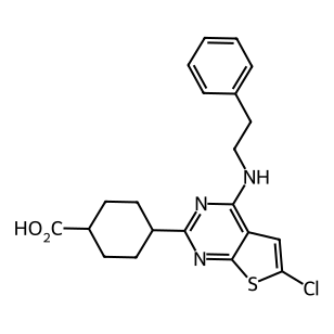 O=C(O)C1CCC(c2nc(NCCc3ccccc3)c3cc(Cl)sc3n2)CC1